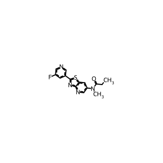 CCC(=O)N(C)c1cnc2nc(-c3cncc(F)c3)sc2c1